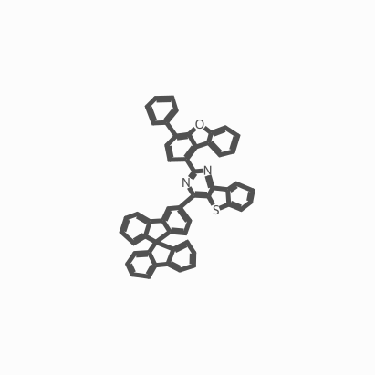 c1ccc(-c2ccc(-c3nc(-c4ccc5c(c4)-c4ccccc4C54c5ccccc5-c5ccccc54)c4sc5ccccc5c4n3)c3c2oc2ccccc23)cc1